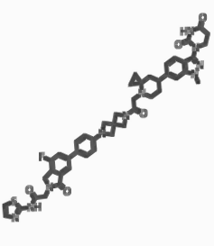 Cn1nc(N2CCC(=O)NC2=O)c2ccc(C3CCN(CC(=O)N4CC5(C4)CN(c4ccc(-c6cc(F)c7c(c6)C(=O)N(CC(=O)Nc6nccs6)C7)cc4)C5)C4(CC4)C3)cc21